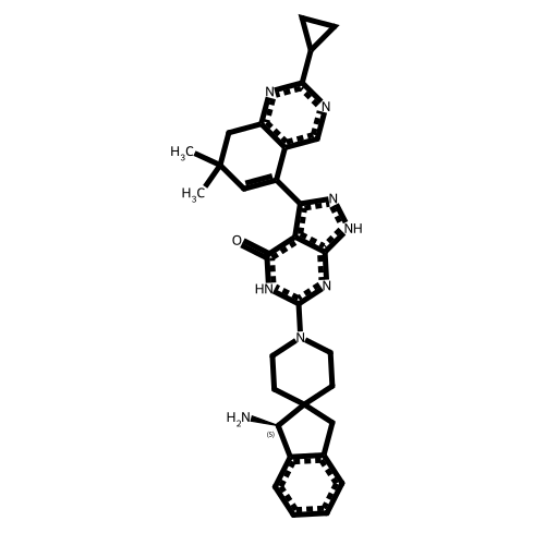 CC1(C)C=C(c2n[nH]c3nc(N4CCC5(CC4)Cc4ccccc4[C@H]5N)[nH]c(=O)c23)c2cnc(C3CC3)nc2C1